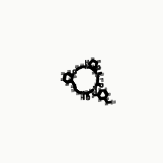 C[C@@H]1C(=O)N[C@H](Cc2cccc(CI)c2)C(=O)NC/C=C/c2ccccc2OCCNC2(CCCC2)C(=O)N1C